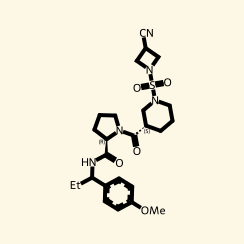 CCC(NC(=O)[C@H]1CCCN1C(=O)[C@H]1CCCN(S(=O)(=O)N2CC(C#N)C2)C1)c1ccc(OC)cc1